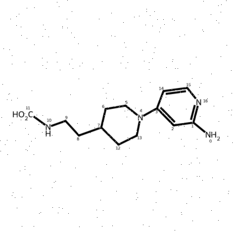 Nc1cc(N2CCC(CCNC(=O)O)CC2)ccn1